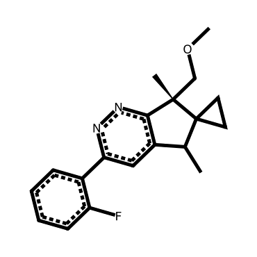 COC[C@@]1(C)c2nnc(-c3ccccc3F)cc2C(C)C12CC2